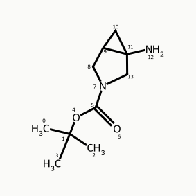 CC(C)(C)OC(=O)N1CC2CC2(N)C1